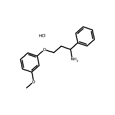 COc1cccc(OCCC(N)c2ccccc2)c1.Cl